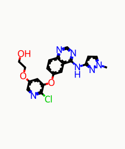 Cn1ccc(Nc2ncnc3ccc(Oc4cc(OCCO)cnc4Cl)cc23)n1